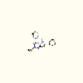 Cc1nc(-c2ccccn2)c2[nH]c(-c3ccccc3)cc2n1